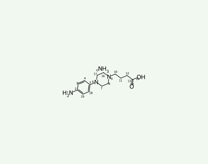 N.Nc1ccc(N2CCN(CCCC(=O)O)CC2)cc1